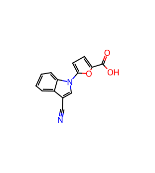 N#Cc1cn(-c2ccc(C(=O)O)o2)c2ccccc12